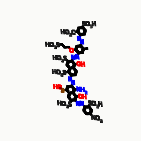 Cc1cc(N=Nc2c(S(=O)(=O)O)cc3c(S(=O)(=O)O)c(N=Nc4cc(SO)c5cc(S(=O)(=O)O)c(N=Nc6ccc([N+](=O)[O-])cc6S(=O)(=O)O)c(O)c5c4N)ccc3c2O)c(OCCCS(=O)(=O)O)cc1N=Nc1ccc(S(=O)(=O)O)cc1C(=O)O